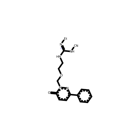 CC/N=C(\NC#N)NCCOCn1nc(-c2ccccc2)ccc1=O